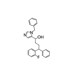 OC(CCC(c1ccccc1)c1ccccc1F)c1cncn1Cc1ccccc1